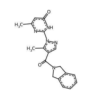 Cc1cc(=O)[nH]c(-n2ncc(C(=O)N3Cc4ccccc4C3)c2C)n1